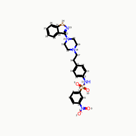 O=[N+]([O-])c1cccc(S(=O)(=O)Nc2ccc(CCN3CCN(c4nsc5ccccc45)CC3)cc2)c1